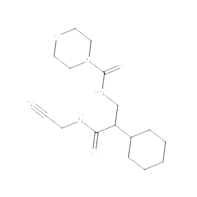 N#CCNC(=O)C(CNC(=O)N1CCOCC1)C1CCCCC1